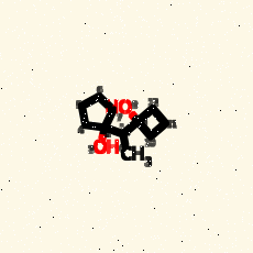 C[C](C1(O)CCCC1)C1(O)CCC1